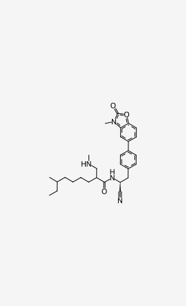 CCC(C)CCCCC(CNC)C(=O)N[C@H](C#N)Cc1ccc(-c2ccc3oc(=O)n(C)c3c2)cc1